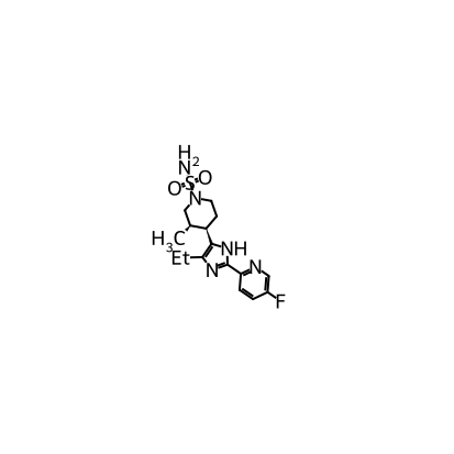 CCc1nc(-c2ccc(F)cn2)[nH]c1[C@@H]1CCN(S(N)(=O)=O)C[C@@H]1C